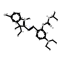 CCN(CC)c1ccc(/C=C/C2=[N+](C)c3ccc(Cl)cc3C2(C)CC)c(OC(=O)OC(C)C)c1